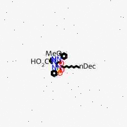 CCCCCCCCCCCCCCCCCCN1C(C(C(=O)Nc2ccccc2OC)n2cc(C(=O)O)cn2)=Nc2ccccc2S1(=O)=O